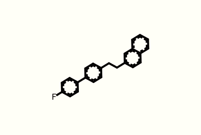 Fc1ccc(-c2ccc(CCc3ccc4ccccc4c3)cc2)cc1